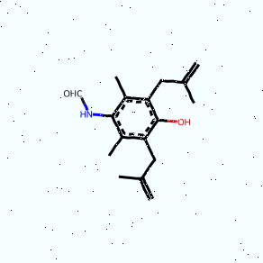 C=C(C)Cc1c(C)c(NC=O)c(C)c(CC(=C)C)c1O